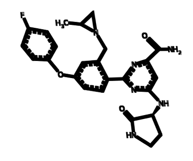 CC1CN1Cc1cc(Oc2ccc(F)cc2)ccc1-c1nc(N[C@H]2CCNC2=O)cc(C(N)=O)n1